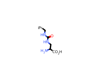 CC(C)CNC(=O)NCC(N)C(=O)O